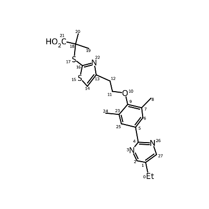 CCc1cnc(-c2cc(C)c(OCCc3csc(SC(C)(C)C(=O)O)n3)c(C)c2)nc1